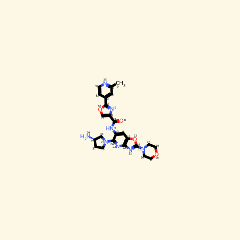 Cc1cc(-c2nc(C(=O)Nc3cc4oc(N5CCOCC5)nc4nc3N3CC[C@@H](N)C3)co2)ccn1